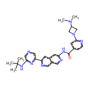 CN(C)C1CN(c2cc(C(=O)Nc3cc4cc(-c5cncc(NC(C)(C)C)n5)ncc4cn3)ccn2)C1